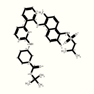 Cc1ccc2c(NS(=O)(=O)CC(C)C)c(F)ccc2c1Oc1ncccc1-c1ccnc(N[C@H]2CCCN(C(=O)OC(C)(C)C)C2)n1